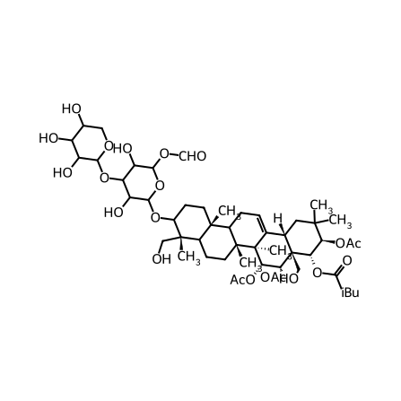 CCC(C)C(=O)O[C@H]1[C@H](OC(C)=O)C(C)(C)C[C@H]2C3=CCC4[C@@]5(C)CCC(OC6OC(OC=O)C(O)C(OC7OCC(O)C(O)C7O)C6O)[C@@](C)(CO)C5CC[C@@]4(C)[C@]3(C)[C@@H](OC(C)=O)[C@@H](OC(C)=O)[C@]21CO